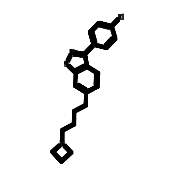 Clc1ccc(-c2nsc3cc(CCCCN4CCC4)ccc23)cc1